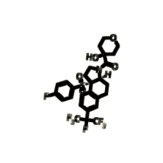 O=C(N1CC[C@]2(S(=O)(=O)c3ccc(F)cc3)c3ccc(C(F)(C(F)(F)F)C(F)(F)F)cc3CC[C@H]12)C1(O)CCOCC1